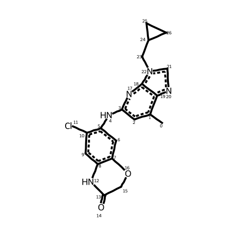 Cc1cc(Nc2cc3c(cc2Cl)NC(=O)CO3)nc2c1ncn2CC1CC1